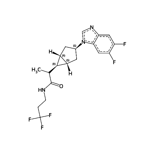 CC(C(=O)NCCC(F)(F)F)[C@H]1[C@@H]2C[C@@H](n3cnc4cc(F)c(F)cc43)C[C@@H]21